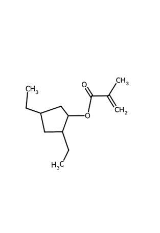 C=C(C)C(=O)OC1CC(CC)CC1CC